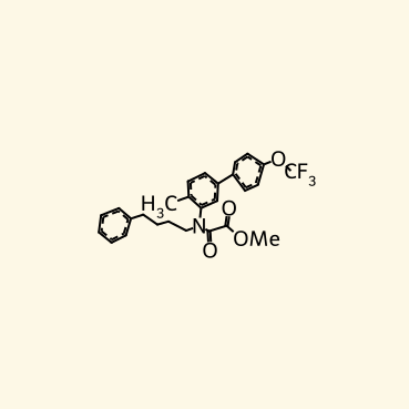 COC(=O)C(=O)N(CCCCc1ccccc1)c1cc(-c2ccc(OC(F)(F)F)cc2)ccc1C